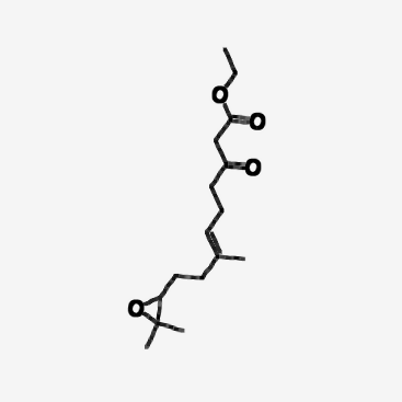 CCOC(=O)CC(=O)CCC=C(C)CCC1OC1(C)C